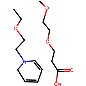 CCOCCN1C=CC=CC1.COCCOCCC(=O)O